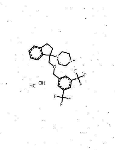 Cl.Cl.FC(F)(F)c1cc(COCC2(N3CCNCC3)CCc3ccccc32)cc(C(F)(F)F)c1